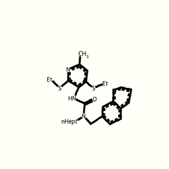 CCCCCCCN(Cc1ccc2ccccc2c1)C(=O)Nc1c(SCC)cc(C)nc1SCC